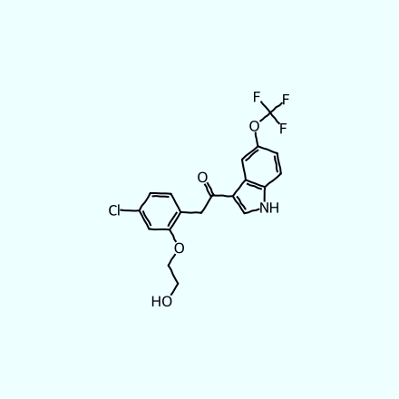 O=C(Cc1ccc(Cl)cc1OCCO)c1c[nH]c2ccc(OC(F)(F)F)cc12